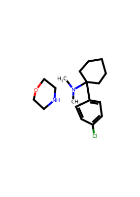 C1COCCN1.CN(C)C1(c2ccc(Cl)cc2)CCCCC1